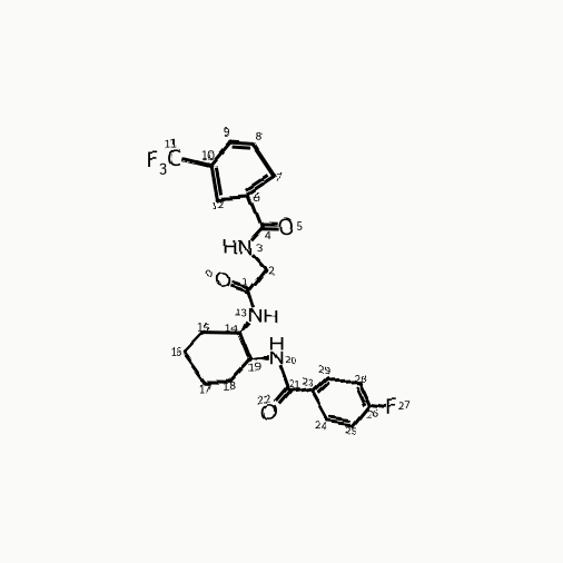 O=C(CNC(=O)c1cccc(C(F)(F)F)c1)N[C@@H]1CCCC[C@@H]1NC(=O)c1ccc(F)cc1